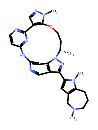 C[C@H]1CCOc2c(cnn2C)-c2nccc(n2)Nc2cc3c(cn2)c(-c2cc4c(n2C)CCCN(C)C4)nn31